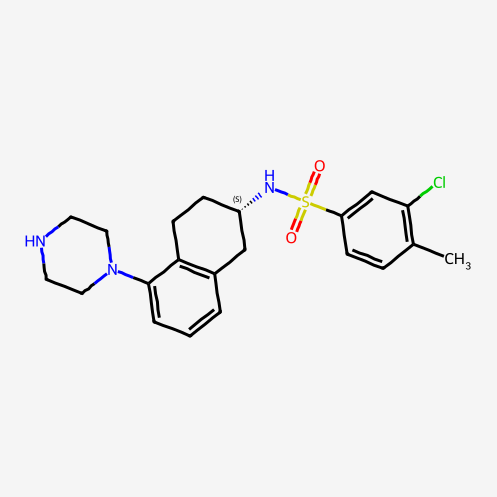 Cc1ccc(S(=O)(=O)N[C@H]2CCc3c(cccc3N3CCNCC3)C2)cc1Cl